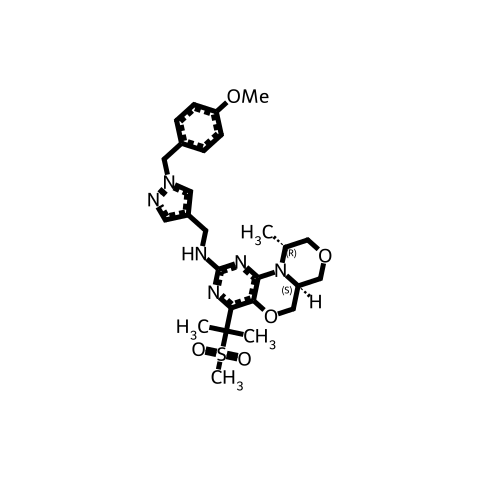 COc1ccc(Cn2cc(CNc3nc4c(c(C(C)(C)S(C)(=O)=O)n3)OC[C@@H]3COC[C@@H](C)N43)cn2)cc1